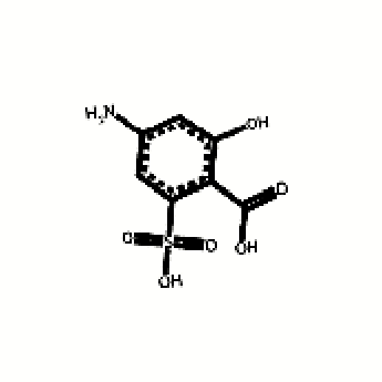 Nc1cc(O)c(C(=O)O)c(S(=O)(=O)O)c1